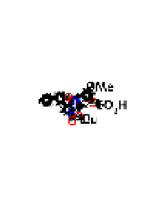 COc1cc(CN(C(=O)C2=C(c3cccc(-c4ccccc4)c3)CCN(C(=O)OC(C)(C)C)C2)C2CC2)cc(OCC(=O)O)c1